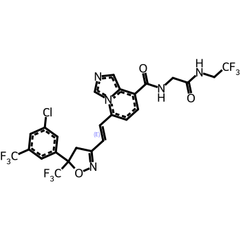 O=C(CNC(=O)c1ccc(/C=C/C2=NOC(c3cc(Cl)cc(C(F)(F)F)c3)(C(F)(F)F)C2)n2cncc12)NCC(F)(F)F